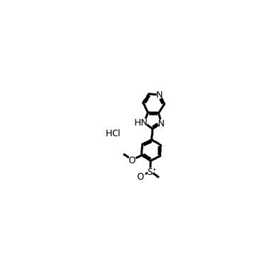 COc1cc(-c2nc3cnccc3[nH]2)ccc1[S+](C)[O-].Cl